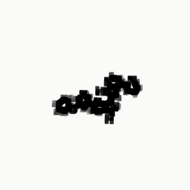 c1ccc(-c2ccnc3[nH]c(-c4n[nH]c5ccc(-c6cncc(OC7CCCCC7)c6)nc45)cc23)nc1